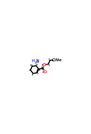 COCCOC(=O)C1=CCCCC1.N